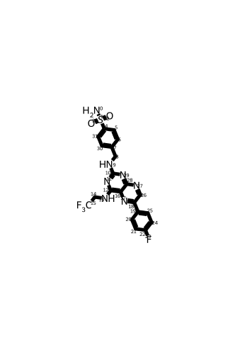 NS(=O)(=O)c1ccc(CNc2nc(NCC(F)(F)F)c3nc(-c4ccc(F)cc4)cnc3n2)cc1